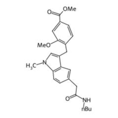 CCCCNC(=O)Cc1ccc2c(c1)c(Cc1ccc(C(=O)OC)cc1OC)cn2C